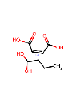 CCCC(O)O.O=C(O)/C=C\C(=O)O